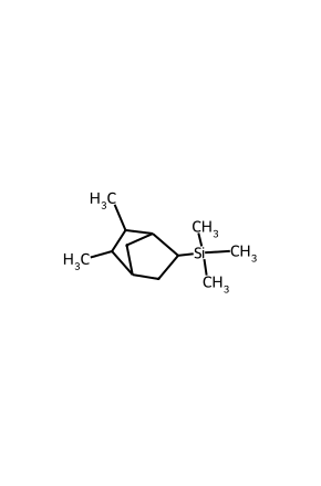 CC1C2CC(C1C)C([Si](C)(C)C)C2